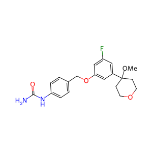 COC1(c2cc(F)cc(OCc3ccc(NC(N)=O)cc3)c2)CCOCC1